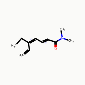 C=C/C(=C\C=C\C(=O)N(C)C)CC